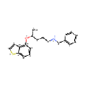 CCCCC(CCCNCc1ccccc1)Oc1cccc2sccc12